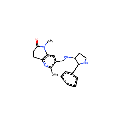 COc1nc2c(cc1CNC1CCNC1c1ccccc1)N(C)C(=O)CC2